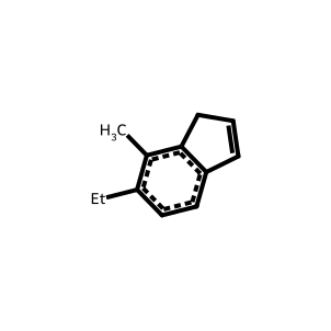 CCc1ccc2c(c1C)CC=C2